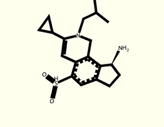 CC(C)CN1Cc2c(c([SH](=O)=O)cc3c2[C@@H](N)CC3)C=C1C1CC1